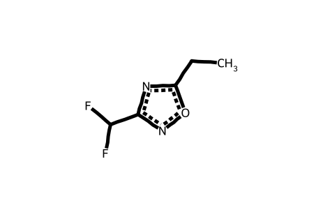 CCc1nc(C(F)F)no1